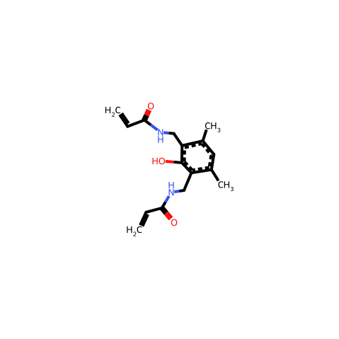 C=CC(=O)NCc1c(C)cc(C)c(CNC(=O)C=C)c1O